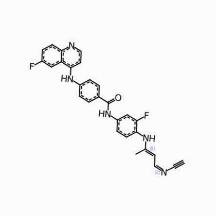 C#C/N=C\C=C(/C)Nc1ccc(NC(=O)c2ccc(Nc3ccnc4ccc(F)cc34)cc2)cc1F